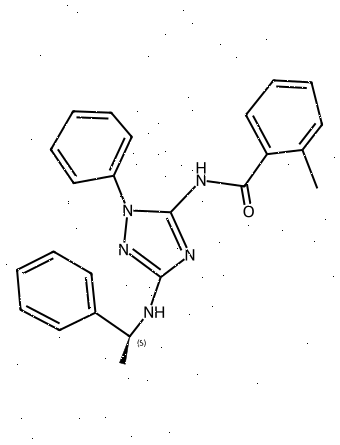 Cc1ccccc1C(=O)Nc1nc(N[C@@H](C)c2ccccc2)nn1-c1ccccc1